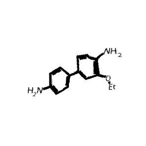 CCOc1cc(-c2ccc(N)cc2)ccc1N